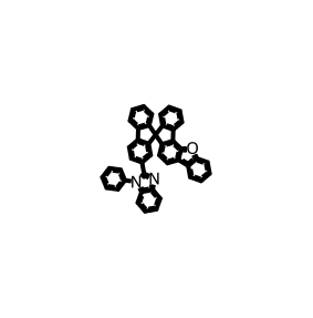 c1ccc(-n2c(-c3ccc4c(c3)C3(c5ccccc5-4)c4ccccc4-c4c3ccc3c4oc4ccccc43)nc3ccccc32)cc1